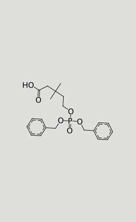 CC(C)(CCOP(=O)(OCc1ccccc1)OCc1ccccc1)CC(=O)O